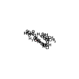 CNC(=O)COc1cc2cc(Nc3nc(N4CCC(F)(CN5CCC6(CC5)CN(c5ccc7c(c5)CN(C5CCC(=O)NC5=O)C7=O)C6(C)C)CC4)ncc3Cl)ccc2n(C(C)C)c1=O